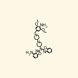 CCOc1cc(CN2CCC(N3CCC(N(c4nc5ccccc5o4)c4nc5c(N)cccc5o4)CC3)CC2)cc(OCC)c1N